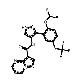 O=C(Nc1c[nH]nc1-c1cc(SC(F)(F)F)ccc1OC(F)F)c1cnn2cccnc12